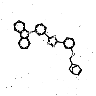 C1=CC2CC1CC2COc1cccc(-c2nnc(-c3cccc(-n4c5ccccc5c5ccccc54)c3)o2)c1